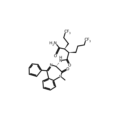 CN1C(=O)[C@@H](NC(=O)[C@H](CCCC(F)(F)F)[C@H](CCC(F)(F)F)C(N)=O)N=C(c2ccccc2)c2ccccc21